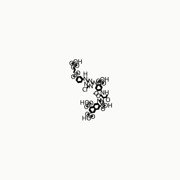 COc1cc(Nc2nc(Cl)nc(Nc3cccc(S(=O)(=O)CCOS(=O)(=O)O)c3)n2)c(S(=O)(=O)O)cc1NC(=O)C(/N=N/c1cc2c(S(=O)(=O)O)cc(S(=O)(=O)O)cc2cc1S(=O)(=O)O)C(C)=O